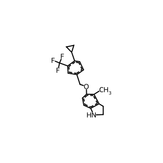 Cc1c(OCc2ccc(C3CC3)c(C(F)(F)F)c2)ccc2c1CCN2